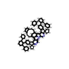 c1ccc(-c2cccc(-c3ccccc3)c2-c2ccc3c(c2)C2(CCCC2)c2ncc4c(c2-3)c2c3cc(c5c6c7c(ncc6n4c25)C2(CCCC2)c2cc(-c4c(-c5ccccc5)cccc4-c4ccccc4)ccc2-7)CCc2cccc(c2)CC3)cc1